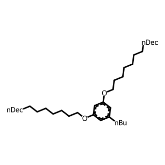 [CH2]CCCc1cc(OCCCCCCCCCCCCCCCCC)cc(OCCCCCCCCCCCCCCCCC)c1